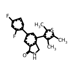 Cc1sc(C)c(-c2cc(-c3ccc(F)cc3F)cc3c2CNC3=O)c1C